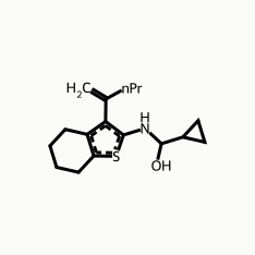 C=C(CCC)c1c(NC(O)C2CC2)sc2c1CCCC2